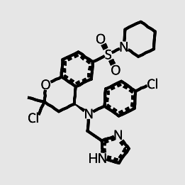 CC1(Cl)C[C@H](N(Cc2ncc[nH]2)c2ccc(Cl)cc2)c2cc(S(=O)(=O)N3CCCCC3)ccc2O1